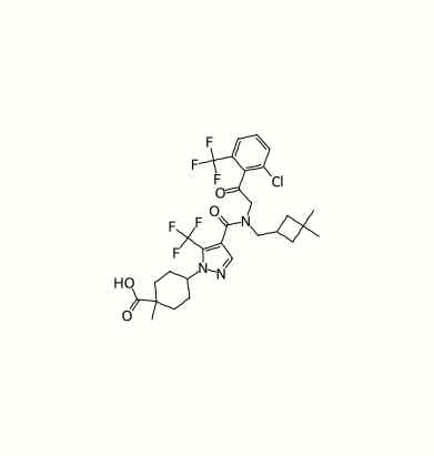 CC1(C)CC(CN(CC(=O)c2c(Cl)cccc2C(F)(F)F)C(=O)c2cnn(C3CCC(C)(C(=O)O)CC3)c2C(F)(F)F)C1